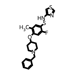 Cc1cc(SNc2cscn2)c(F)cc1OC1CCN(Cc2ccccc2)CC1